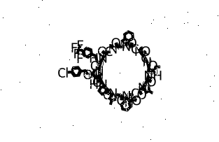 CC[C@H](C)[C@@H]1NC(=O)[C@H](CC(C)C)N(C)C(=O)C[C@@H](C(=O)N2CCCCC2)N(C)C(=O)[C@H](CC(C)C)N(C)C(=O)C2(CCCC2)NC(=O)[C@@H]2C[C@H](OCc3ccc(Cl)cc3)CN2C(=O)[C@H](CCc2ccc(C(F)(F)F)c(F)c2)NC(=O)CN(C)C(=O)[C@H](CC2CCCCC2)N(C)C(=O)CN(C)C(=O)CN(C)C1=O